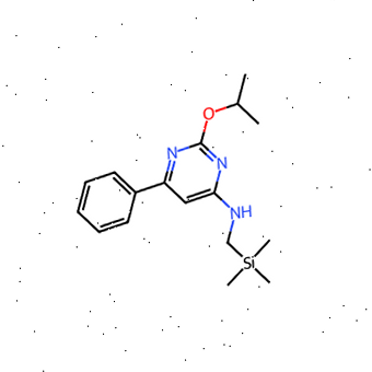 CC(C)Oc1nc(NC[Si](C)(C)C)cc(-c2ccccc2)n1